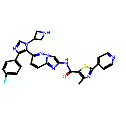 Cc1nc(-c2ccncc2)sc1C(=O)Nc1cn2nc(-c3c(-c4ccc(F)cc4)ncn3C3CNC3)ccc2n1